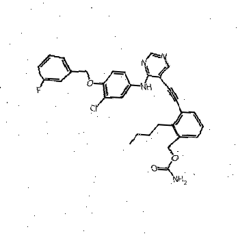 CCCCc1c(C#Cc2cncnc2Nc2ccc(OCc3cccc(F)c3)c(Cl)c2)cccc1COC(N)=O